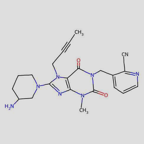 CC#CCn1c(N2CCCC(N)C2)nc2c1c(=O)n(Cc1cccnc1C#N)c(=O)n2C